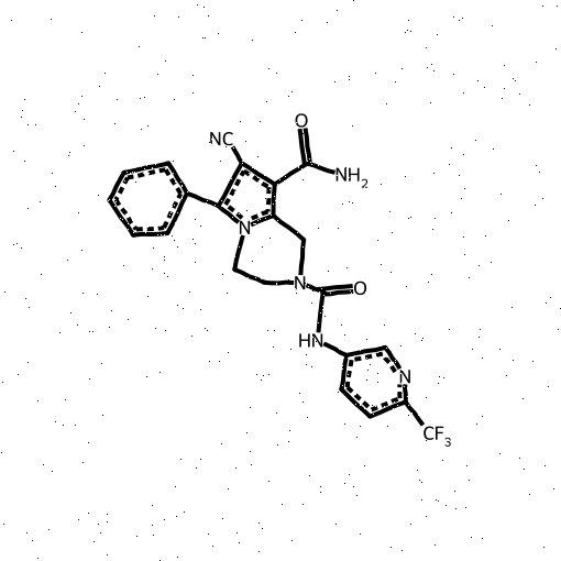 N#Cc1c(C(N)=O)c2n(c1-c1ccccc1)CCN(C(=O)Nc1ccc(C(F)(F)F)nc1)C2